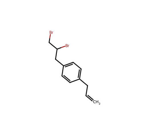 C=CCc1ccc(CC(Br)CBr)cc1